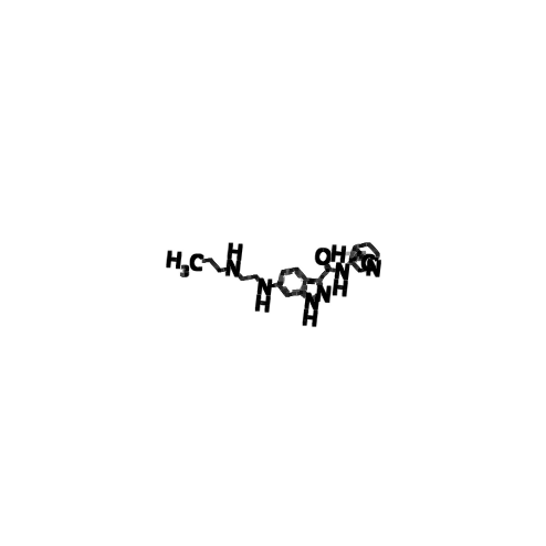 CCCNCCNc1ccc2c(C(=O)N[C@@H]3CN4CCC3CC4)n[nH]c2c1